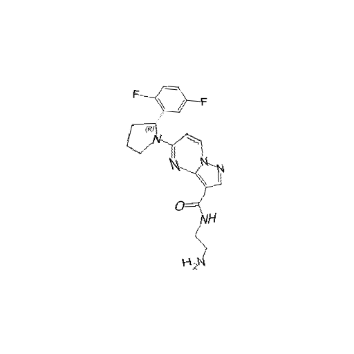 NCCNC(=O)c1cnn2ccc(N3CCC[C@@H]3c3cc(F)ccc3F)nc12